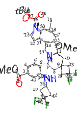 COC(=O)c1ccc([C@H]2CC3(CCN2Cc2c(OC)cc(C)c4c2ccn4C(=O)OC(C)(C)C)CC(F)(F)C3)c(NC2CC(F)(F)C2)c1